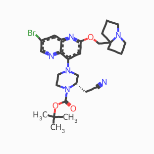 CC(C)(C)OC(=O)N1CCN(c2cc(OCC34CCCN3CCC4)nc3cc(Br)cnc23)C[C@@H]1CC#N